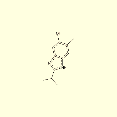 Cc1cc2[nH]c(C(C)C)nc2cc1O